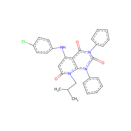 CC(C)Cn1c(=O)cc(Nc2ccc(Cl)cc2)c2c(=O)n(-c3ccccc3)c(=O)n(-c3ccccc3)c21